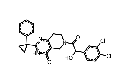 O=C(C(O)c1ccc(Cl)c(Cl)c1)N1CCc2nc(C3(c4ccccc4)CC3)[nH]c(=O)c2C1